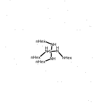 CCCCCCN[Si](NCCCCCC)(NCCCCCC)NCCCCCC